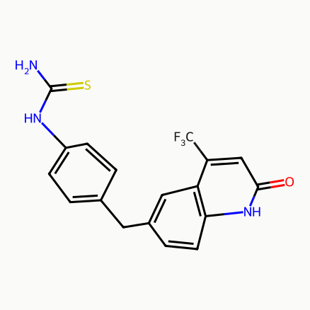 NC(=S)Nc1ccc(Cc2ccc3[nH]c(=O)cc(C(F)(F)F)c3c2)cc1